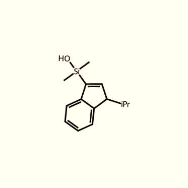 CC(C)C1C=C([Si](C)(C)O)c2ccccc21